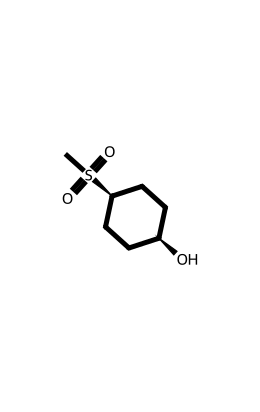 CS(=O)(=O)[C@H]1CC[C@@H](O)CC1